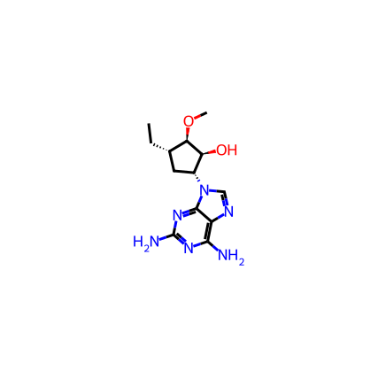 CC[C@H]1C[C@@H](n2cnc3c(N)nc(N)nc32)[C@H](O)[C@@H]1OC